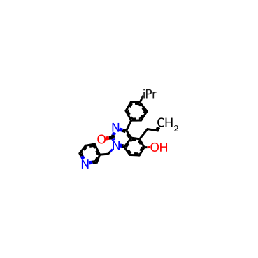 C=CCc1c(O)ccc2c1c(-c1ccc(C(C)C)cc1)nc(=O)n2Cc1cccnc1